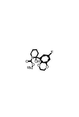 CC(C)(C)OC(=O)N1CCCCC1(O)c1cc(F)cc2c1OCCO2